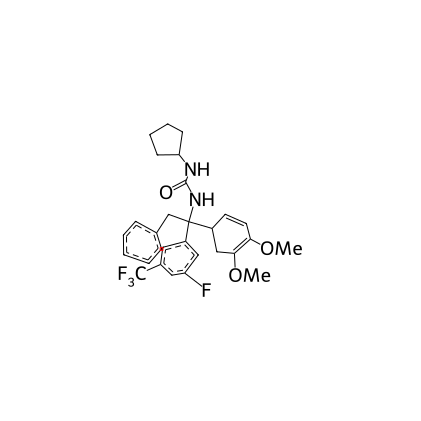 COC1=C(OC)CC(C(Cc2ccccc2)(NC(=O)NC2CCCC2)c2cc(F)cc(C(F)(F)F)c2)C=C1